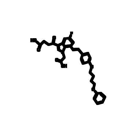 O=C(O)CCC(=O)c1cn(CC(=O)O)c2c(C=Cc3ccc(OCCCCOc4ccccc4)cc3)cc(F)cc12